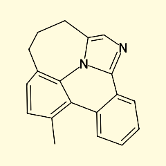 Cc1ccc2c3c1c1ccccc1c1ncc(n13)CCC2